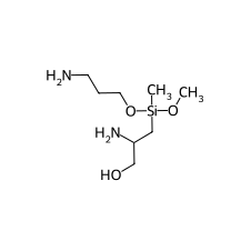 CO[Si](C)(CC(N)CO)OCCCN